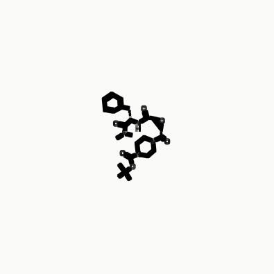 CN(C)C(=O)[C@H](Cc1ccccc1)NC(=O)[C@H]1O[C@@H]1C(=O)N1CCN(C(=O)OC(C)(C)C)CC1